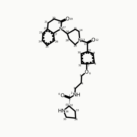 O=C(NCCCOc1ccc(C(=O)N2CCC(N3C(=O)CCc4ccccc43)CC2)cc1)[C@@H]1CCCN1